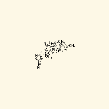 C[C@H]1CC[C@@H]2C3CC[C@]4(C)[C@@H](C(=O)Cn5cc(C#N)cn5)C5=C[C@H]5[C@H]4[C@@H]3CC[C@@H]2C1